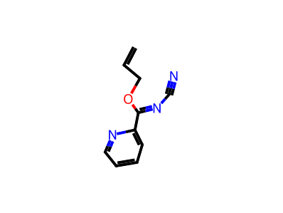 C=CCOC(=NC#N)c1ccccn1